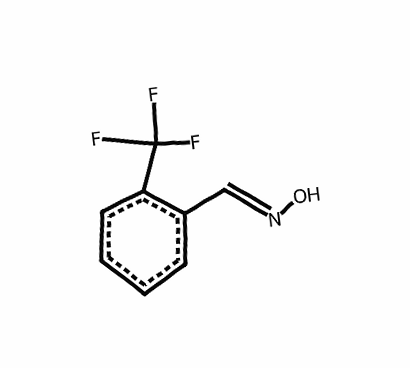 O/N=C/c1ccccc1C(F)(F)F